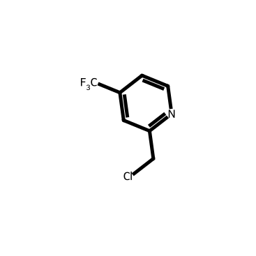 FC(F)(F)c1ccnc(CCl)c1